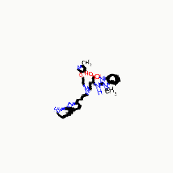 Cc1ccc(OCCN(CCCCc2ccc3c(n2)NCCC3)CC[C@H](Nc2nc3ccccc3n2C)C(=O)O)cn1